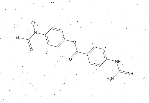 CCC(=O)N(C)c1ccc(OC(=O)c2ccc(NC(=N)N)cc2)cc1